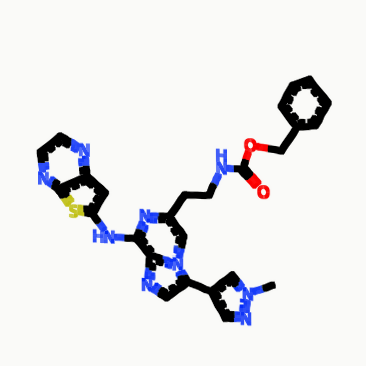 Cn1cc(-c2cnc3c(Nc4cc5nccnc5s4)nc(CCNC(=O)OCc4ccccc4)cn23)cn1